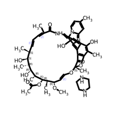 C1CNCCN1.CO[C@H]1/C=C/O[C@@]2(C)Oc3c(C)c(O)c4c(O)c(c5c(nc6cc(C)ccn65)c4c3C2=O)NC(=O)/C(C)=C\C=C\[C@H](C)[C@H](O)[C@@H](C)[C@@H](O)[C@@H](C)[C@H](OC(C)=O)[C@@H]1C